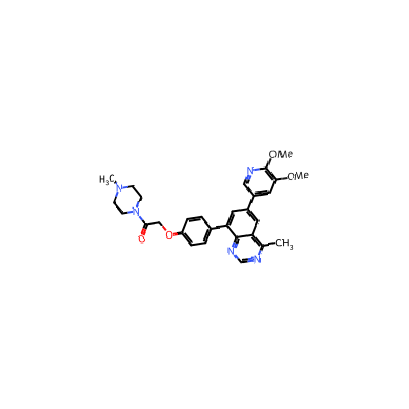 COc1cc(-c2cc(-c3ccc(OCC(=O)N4CCN(C)CC4)cc3)c3ncnc(C)c3c2)cnc1OC